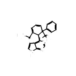 NC(=O)C1=CC=CC(c2ccccc2)(C(F)(F)F)C1c1ncnc2[nH]ccc12